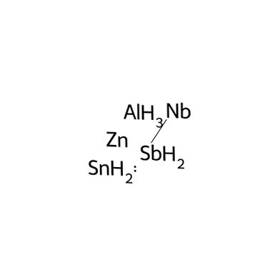 [AlH3].[Nb][SbH2].[SnH2].[Zn]